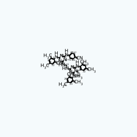 Cc1cc(C)c(Nc2nc(NCNc3nc(Nc4c(C)cc(C)cc4C)nc(Nc4c(C)cc(C)cc4C)n3)nc(Nc3ccc(C#N)cc3)n2)c(C)c1